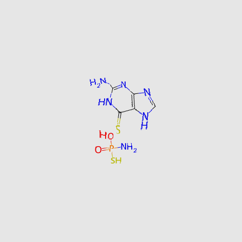 NP(=O)(O)S.Nc1nc2nc[nH]c2c(=S)[nH]1